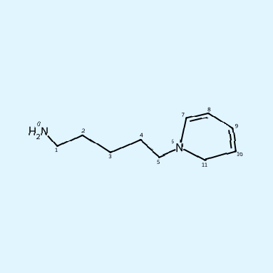 NCCCCCN1C=CC=CC1